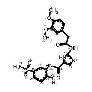 COc1ccc(CC(=O)Nc2ncc(C(=O)Nc3cc(S(N)(=O)=O)ccc3C)[nH]2)cc1OC